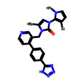 CCCCc1cn(-c2c(CC)ccn2CCC)c(=O)n1Cc1cnccc1-c1ccc(-c2nnn[nH]2)cc1